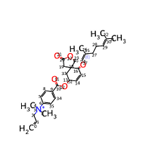 C=CC[N+](C)(C)c1ccc(C(=O)O[C@@H]2C=CC(=O)C3(CC(=O)O[C@@H]3/C=C(\C)CCC=C(C)C)C2)cc1